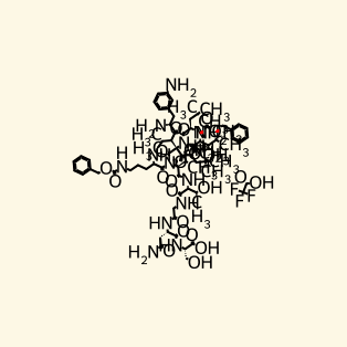 CCC(C)[C@@H](C(=O)N[C@H](C(=O)NCC(=O)N[C@@H](CC(N)=O)C(=O)N[C@@H](CO)C(=O)O)[C@H](C)O)N(C(=O)[C@H](N)CCCNC(=O)OCc1ccccc1)C(=O)[C@](C(=O)[C@@H](N)CC(C)(C)C)(C(C(=O)[C@@H](N)Cc1cccc(N)c1)C(C)C)N(C(=O)[C@@H](N)[C@H](O)C(C)C)C(=O)[C@@H](CC(C)(C)C)NC(=O)OCc1ccccc1.O=C(O)C(F)(F)F